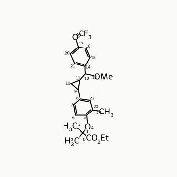 CCOC(=O)C(C)(C)Oc1ccc(C2CC2C(OC)c2ccc(OC(F)(F)F)cc2)cc1C